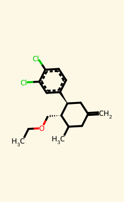 C=C1CC(C)[C@H](COCC)[C@@H](c2ccc(Cl)c(Cl)c2)C1